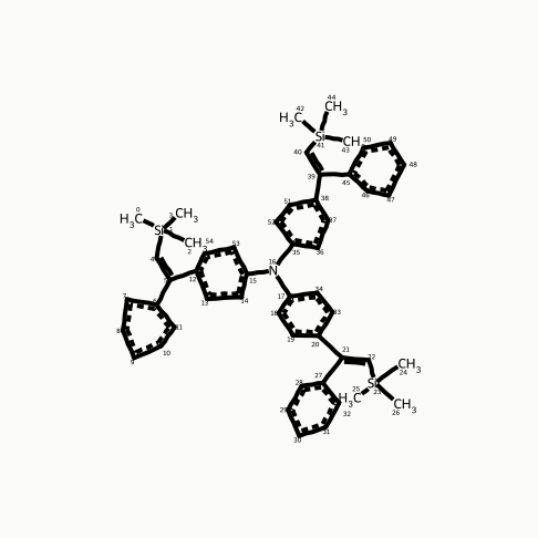 C[Si](C)(C)C=C(c1ccccc1)c1ccc(N(c2ccc(C(=C[Si](C)(C)C)c3ccccc3)cc2)c2ccc(C(=C[Si](C)(C)C)c3ccccc3)cc2)cc1